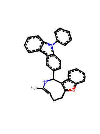 C/C1=C\CCc2oc3ccccc3c2C(c2ccc3c(c2)c2ccccc2n3-c2ccccc2)N1